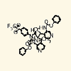 CC(c1ccncc1NC(=O)Oc1ccccc1)C1(C(C)c2ccncc2NC(=O)Oc2ccccc2)NC(=O)N(c2ccc(S(=O)(=O)C(F)(F)F)cc2)C1=O